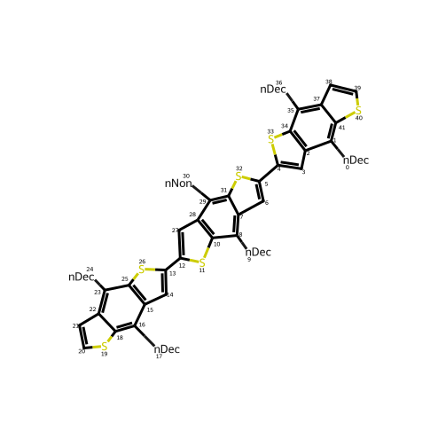 CCCCCCCCCCc1c2cc(-c3cc4c(CCCCCCCCCC)c5sc(-c6cc7c(CCCCCCCCCC)c8sccc8c(CCCCCCCCCC)c7s6)cc5c(CCCCCCCCC)c4s3)sc2c(CCCCCCCCCC)c2ccsc12